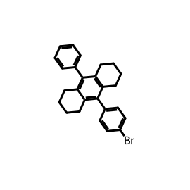 Brc1ccc(-c2c3c(c(-c4ccccc4)c4c2CCCC4)CCCC3)cc1